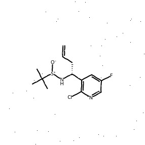 C=CC[C@@H](N[S+]([O-])C(C)(C)C)c1cc(F)cnc1Cl